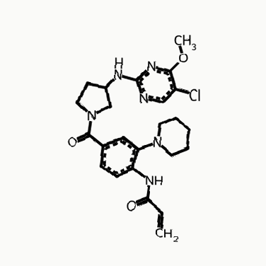 C=CC(=O)Nc1ccc(C(=O)N2CCC(Nc3ncc(Cl)c(OC)n3)C2)cc1N1CCCCC1